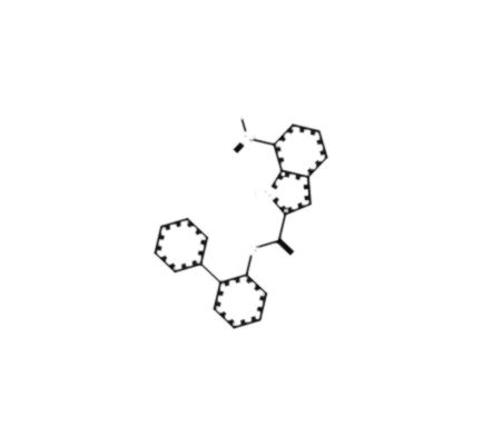 O=C(Nc1ccccc1-c1ccccc1)c1cc2cccc([N+](=O)[O-])c2[nH]1